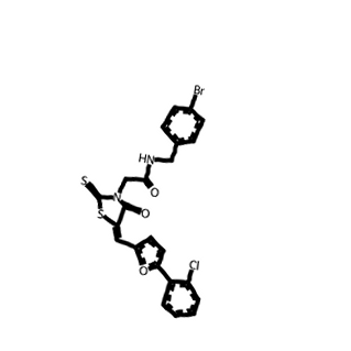 O=C(CN1C(=O)C(=Cc2ccc(-c3ccccc3Cl)o2)SC1=S)NCc1ccc(Br)cc1